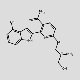 NC(=O)c1ncc(NC[C@@H](N)CO)nc1-c1cc2c(O)cccc2[nH]1